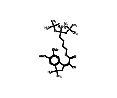 COc1cc2c(cc1OC)C(C)(C)CC2=C(C#N)C(=O)OCCCC[Si](C)(O[Si](C)(C)C)O[Si](C)(C)C